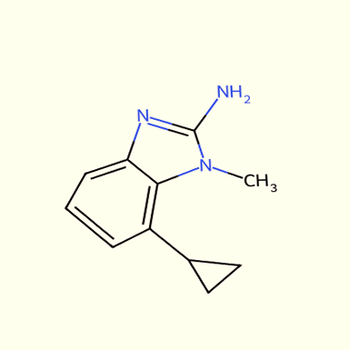 Cn1c(N)nc2cccc(C3CC3)c21